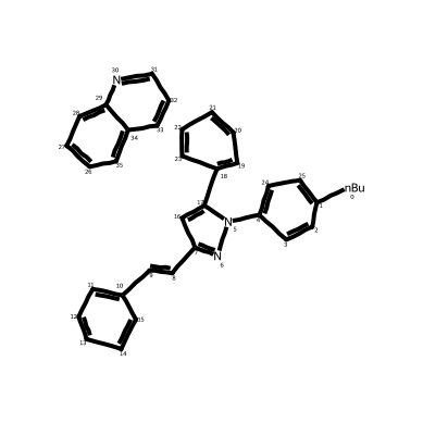 CCCCc1ccc(-n2nc(C=Cc3ccccc3)cc2-c2ccccc2)cc1.c1ccc2ncccc2c1